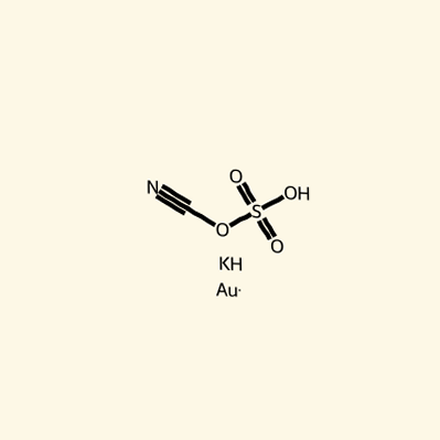 N#COS(=O)(=O)O.[Au].[KH]